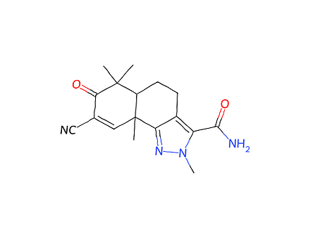 Cn1nc2c(c1C(N)=O)CCC1C(C)(C)C(=O)C(C#N)=CC21C